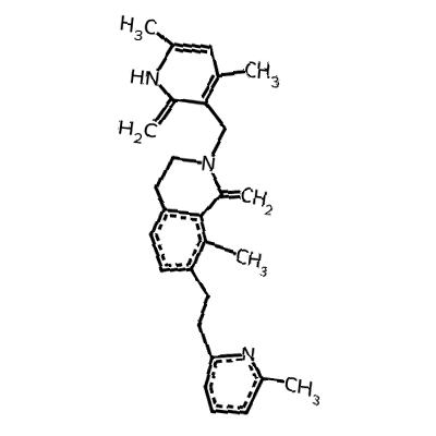 C=C1NC(C)=CC(C)=C1CN1CCc2ccc(CCc3cccc(C)n3)c(C)c2C1=C